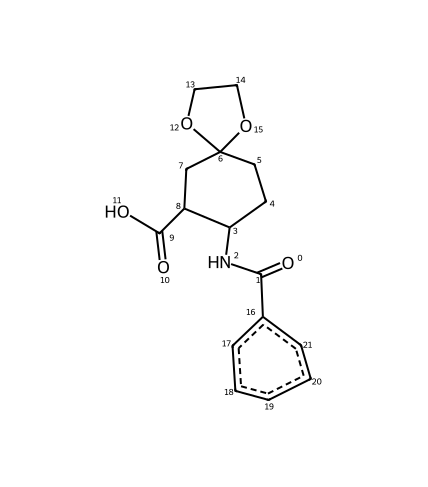 O=C(NC1CCC2(CC1C(=O)O)OCCO2)c1ccccc1